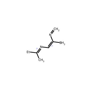 B/C(=C/N=C(\C)CC)N=C